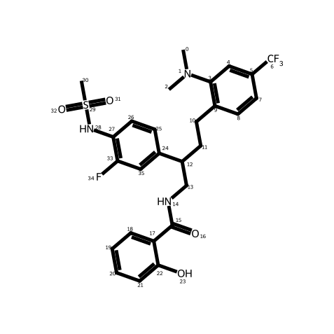 CN(C)c1cc(C(F)(F)F)ccc1CCC(CNC(=O)c1ccccc1O)c1ccc(NS(C)(=O)=O)c(F)c1